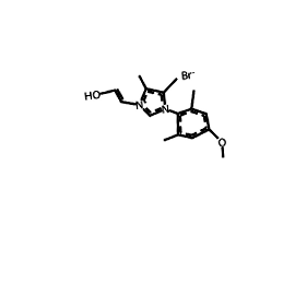 COc1cc(C)c(-n2c[n+](C=CO)c(C)c2C)c(C)c1.[Br-]